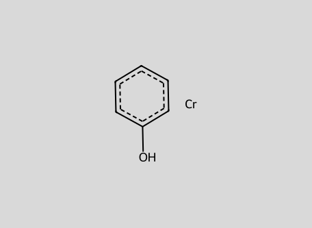 Oc1ccccc1.[Cr]